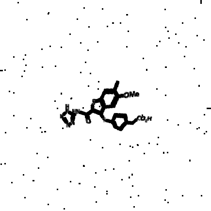 COc1cc2c(Sc3ccc(CC(=O)O)cc3)c(C(=O)Nc3nnn[nH]3)sc2cc1C